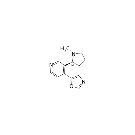 CN1CCC[C@H]1c1cnccc1-c1cnco1